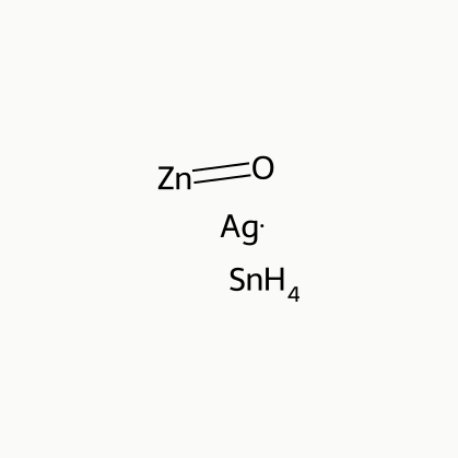 [Ag].[O]=[Zn].[SnH4]